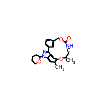 Cc1cc2c3cc1O[C@H](C)CCNC(=O)OCc1cccc(c1)-c3nn2C1CCCCO1